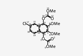 COC(=O)Oc1c(OC)c(OC)c(OC(=O)OC)c2cc(Cl)ccc12